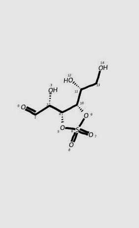 O=C[C@H](O)[C@H]1OS(=O)(=O)O[C@H]1[C@H](O)CO